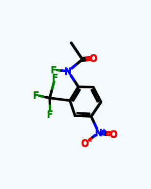 CC(=O)N(F)c1ccc([N+](=O)[O-])cc1C(F)(F)F